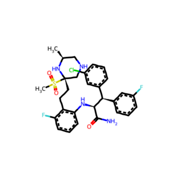 C[C@H]1CNC[C@](CCc2c(F)cccc2N[C@H](C(N)=O)[C@H](c2cccc(F)c2)c2cccc(Cl)c2)(S(C)(=O)=O)N1